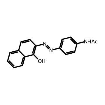 CC(=O)Nc1ccc(N=Nc2ccc3ccccc3c2O)cc1